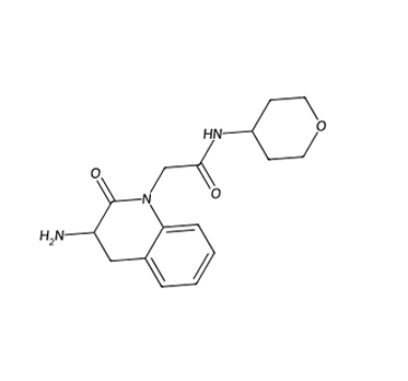 NC1Cc2ccccc2N(CC(=O)NC2CCOCC2)C1=O